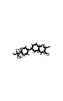 Cc1nc2ccc(-c3cnc(C(C)(O)I)nc3)cc2cc1Cl